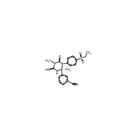 CCS(=O)(=O)c1ccc([C@@H]2C(=O)N(C)C(=N)N[C@]2(C)c2cccc(C#N)c2)cc1